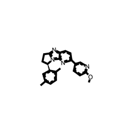 COc1ccc(-c2ccc3nc4n(c3n2)[C@@H](c2cc(C)ccc2C)CC4)cn1